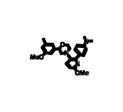 COc1cc(C)cc(C2CN(c3ccc(OC)nc3-c3ccc(N(C)C)cc3)CCO2)c1